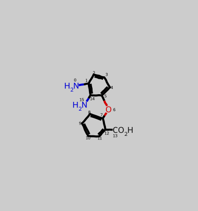 Nc1cccc(Oc2ccccc2C(=O)O)c1N